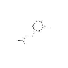 FC(F)CNc1cccc(Br)n1